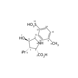 CC(C)[C@H]1[C@@H](C(=O)O)NC[C@@H]1O.Cc1ccc(S(=O)(=O)O)cc1